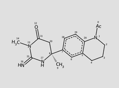 CC(=O)N1CCCc2cc([C@]3(C)CC(=O)N(C)C(=N)N3)ccc21